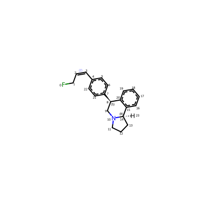 FC/C=C\c1ccc([C@@H]2CN3CCC[C@@H]3c3ccccc32)cc1